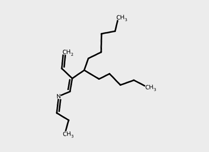 C=C/C(=C\N=C/CC)C(CCCCC)CCCCC